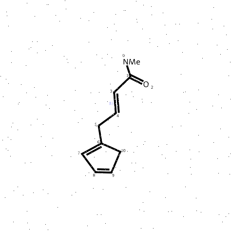 CNC(=O)/C=C/CC1=CC=CC1